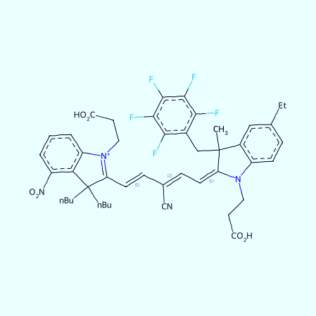 CCCCC1(CCCC)C(/C=C/C(C#N)=C/C=C2/N(CCC(=O)O)c3ccc(CC)cc3C2(C)Cc2c(F)c(F)c(F)c(F)c2F)=[N+](CCC(=O)O)c2cccc([N+](=O)[O-])c21